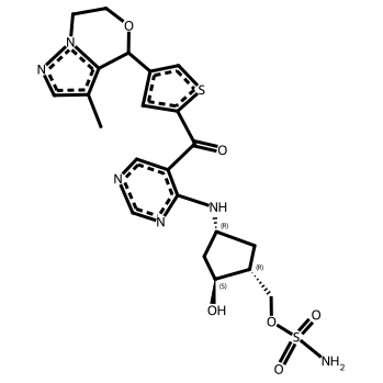 Cc1cnn2c1C(c1csc(C(=O)c3cncnc3N[C@@H]3C[C@H](COS(N)(=O)=O)[C@@H](O)C3)c1)OCC2